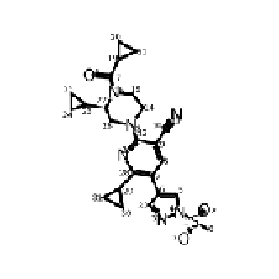 CS(=O)(=O)n1cc(-c2cc(C#N)c(N3CCN(C(=O)C4CC4)[C@H](C4CC4)C3)nc2C2CC2)cn1